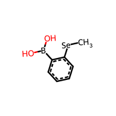 C[Se]c1ccccc1B(O)O